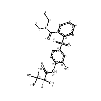 CCN(CC)C(=O)c1ccccc1S(=O)(=O)c1ccc(NC(=O)[C@@](C)(O)C(F)(F)F)c(Cl)c1